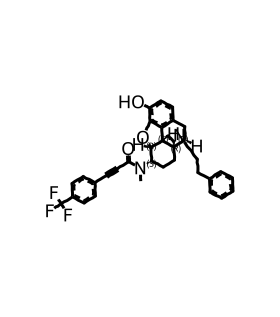 CN(C(=O)C#Cc1ccc(C(F)(F)F)cc1)[C@H]1CC[C@H]2[C@H]3Cc4ccc(O)c5c4[C@@]2(CCN3CCc2ccccc2)[C@H]1O5